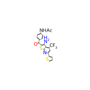 CC(=O)Nc1ccc(C(=O)c2sc3nc(-c4cccs4)cc(C(F)(F)F)c3c2N)cc1